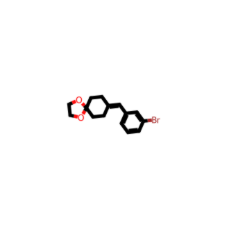 Brc1cccc(C=C2CCC3(CC2)OCCO3)c1